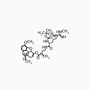 CNC(=N)NCCC[C@H](NC(=O)OC(C)(C)C)C(=O)NCCN(C)C(=O)OC1=CCC2[C@H]3Cc4ccc(OC)c5c4[C@@]2(CCN3C)C1O5